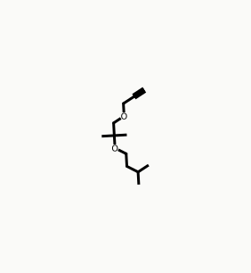 C#CCOCC(C)(C)OCCC(C)C